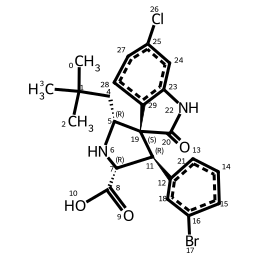 CC(C)(C)C[C@H]1N[C@@H](C(=O)O)[C@H](c2cccc(Br)c2)[C@@]12C(=O)Nc1cc(Cl)ccc12